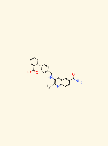 Cc1nc2ccc(C(N)=O)cc2cc1NCc1ccc(-c2ccccc2C(=O)O)cc1